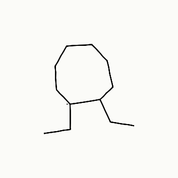 CC[C]1CCCCCCC1CC